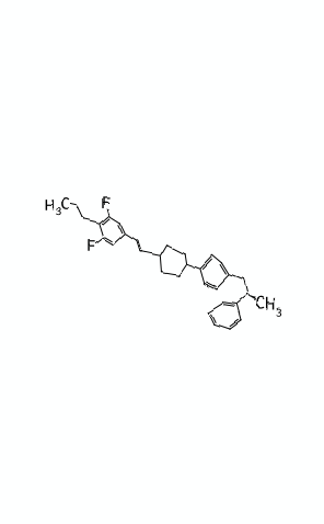 CCCc1c(F)cc(CCC2CCC(c3ccc(C[C@@H](C)c4ccccc4)cc3)CC2)cc1F